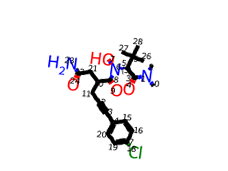 CN(C)C(=O)[C@@H](N(O)C(=O)C(CC#Cc1ccc(Cl)cc1)CC(N)=O)C(C)(C)C